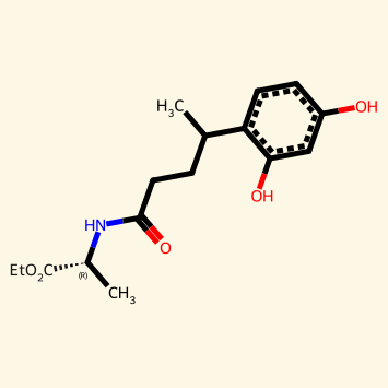 CCOC(=O)[C@@H](C)NC(=O)CCC(C)c1ccc(O)cc1O